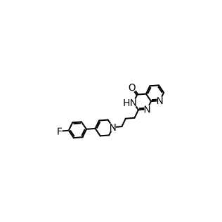 O=c1[nH]c(CCCN2CC=C(c3ccc(F)cc3)CC2)nc2ncccc12